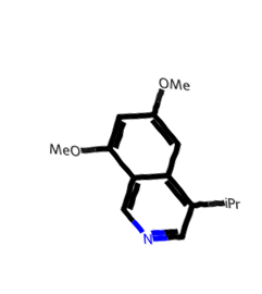 COc1cc(OC)c2cncc(C(C)C)c2c1